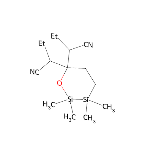 CCC(C#N)C1(C(C#N)CC)CC[Si](C)(C)[Si](C)(C)O1